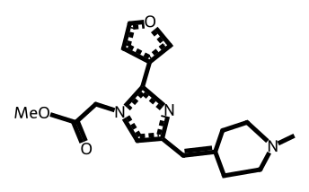 COC(=O)Cn1cc(C=C2CCN(C)CC2)nc1-c1ccoc1